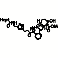 CCCCCCCC(=O)NCc1cn(CCC(=O)Nc2ccccc2[C@@H]2C[C@H]3[C@@H](CC[C@H](O)[C@@H]3C(=O)OC)CN2C#N)nn1